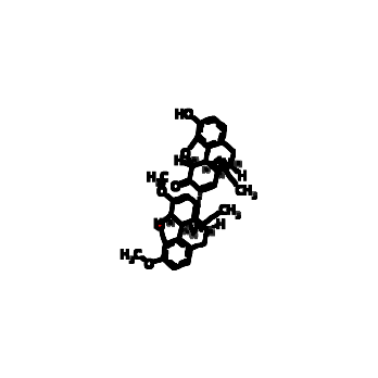 COC1=CC=C2[C@H]3Cc4ccc(OC)c5c4[C@@]2(C[C@@H](C2=C[C@@]4(O)[C@H]6Cc7ccc(O)c8c7[C@@]4(CCN6C)[C@@H](O8)C2=O)N3C)[C@H]1O5